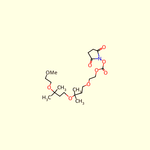 COCCOC(C)(C)CCOC(C)(C)CCOCCOC(=O)ON1C(=O)CCC1=O